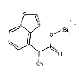 CC(C)(C)OC(=O)C(C#N)c1cccc2sccc12